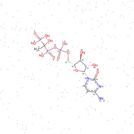 CC(O)(P(=O)(O)O)P(=O)(O)OP(=O)(O)OC[C@H]1O[C@@H](n2ccc(N)nc2=O)[C@@H](O)[C@@H]1O